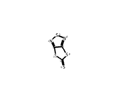 S=c1sc2nsnc2s1